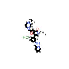 CN1CCCN(Cc2cc3c(=O)n(C)cc(-c4cccc(NCc5ccccn5)c4)c3o2)CC1.Cl